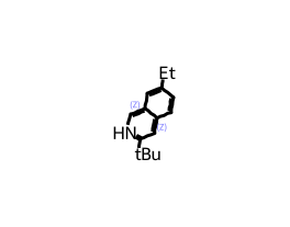 C/C=c1/cc(CC)cc/c1=C/C(=N)C(C)(C)C